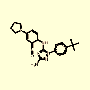 CC(C)(C)c1ccc(-n2nc(N)nc2NC2C=CC(N3CCCC3)=CC2=C=O)cc1